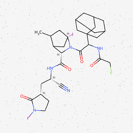 CC1C[C@]2(I)CC1[C@@H](C(=O)N[C@H](C#N)C[C@@H]1CCN(I)C1=O)N2C(=O)C(NC(=O)CF)C12CC3CC(CC(C3)C1)C2